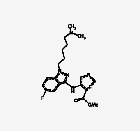 COC(=O)c1ccncc1Nc1nn(CCCCCN(C)C)c2ccc(F)cc12